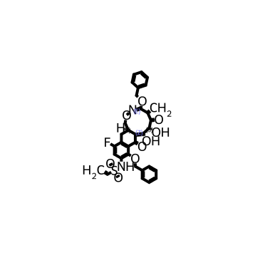 C=CS(=O)(=O)Nc1cc(F)c2c(c1OCc1ccccc1)C(=O)/C1=C(\O)[C@H](O)C(=O)C(=C)/C(OCc3ccccc3)=N\OC[C@@H]1C2